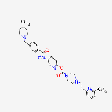 Cc1cccc(CCN2CCN(C(=O)Oc3ccc(NC(=O)c4ccc(CN5CCC(C)CC5)cc4)cn3)CC2)n1